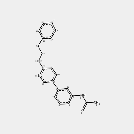 CC(=O)Nc1cccc(-c2ccc(NCCc3ccncc3)nc2)c1